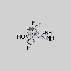 CCN/C=C(\C=N)C/C(=C/C(=N)C(F)F)Nc1ccc(F)cc1[C@@H](C)O